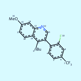 CCCCc1c(-c2ccc(C(F)(F)F)cc2F)cnc2cc(OC)ccc12